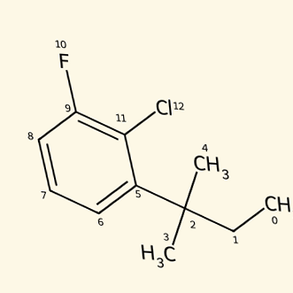 CCC(C)(C)c1cccc(F)c1Cl